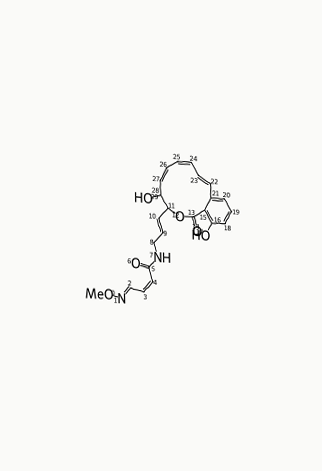 CO/N=C/C=C\C(=O)NC/C=C/C1OC(=O)c2c(O)cccc2/C=C/C=C\C=C/C1O